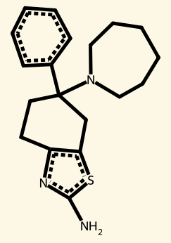 Nc1nc2c(s1)CC(c1ccccc1)(N1CCCCCC1)CC2